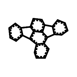 c1ccc2c(c1)-c1ccc3c4c(c5ccccc5c-2c14)-c1ccccc1-3